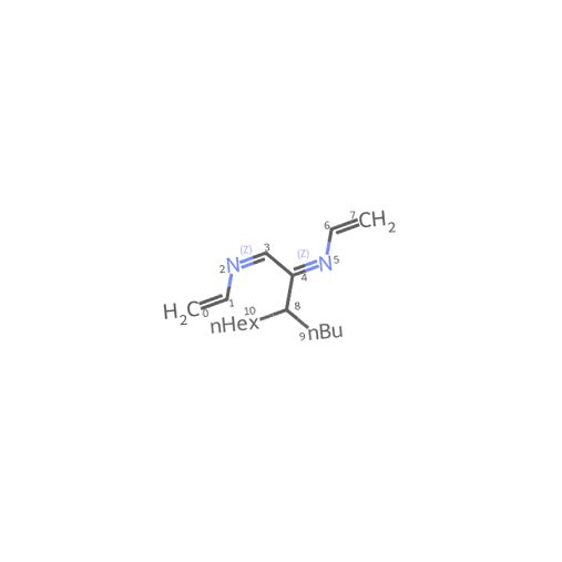 C=C/N=C\C(=N/C=C)C(CCCC)CCCCCC